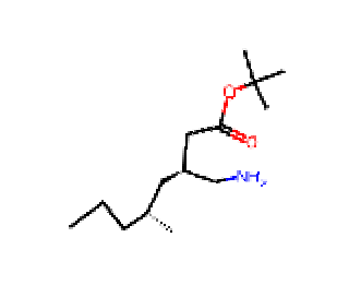 CCC[C@@H](C)C[C@H](CN)CC(=O)OC(C)(C)C